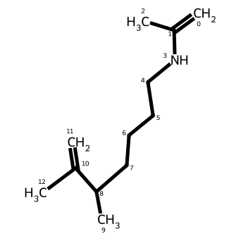 C=C(C)NCCCCC(C)C(=C)C